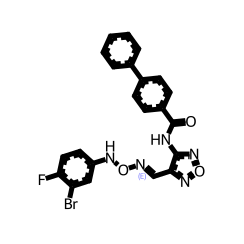 O=C(Nc1nonc1/C=N/ONc1ccc(F)c(Br)c1)c1ccc(-c2ccccc2)cc1